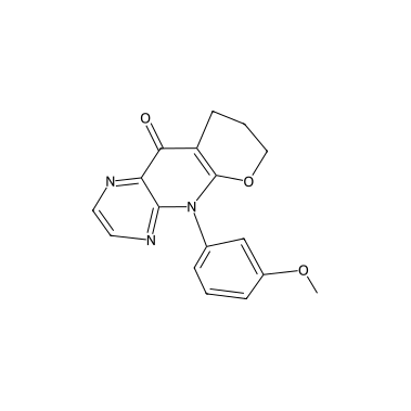 COc1cccc(-n2c3c(c(=O)c4nccnc42)CCCO3)c1